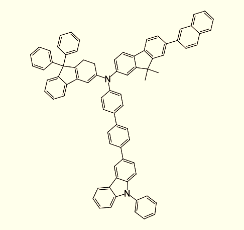 CC1(C)c2cc(-c3ccc4ccccc4c3)ccc2-c2ccc(N(C3=CC4=C(CC3)C(c3ccccc3)(c3ccccc3)c3ccccc34)c3ccc(-c4ccc(-c5ccc6c(c5)c5ccccc5n6-c5ccccc5)cc4)cc3)cc21